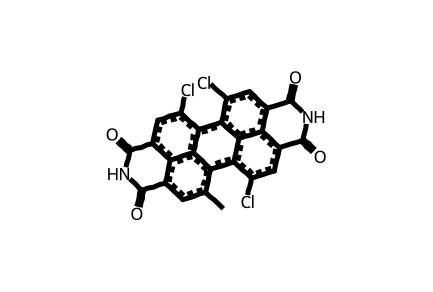 Cc1cc2c3c(cc(Cl)c4c5c(Cl)cc6c7c(cc(Cl)c(c1c34)c75)C(=O)NC6=O)C(=O)NC2=O